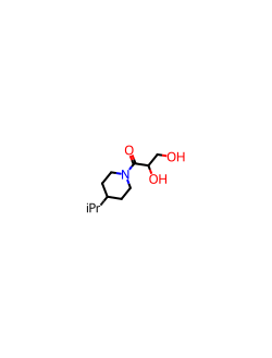 CC(C)C1CCN(C(=O)C(O)CO)CC1